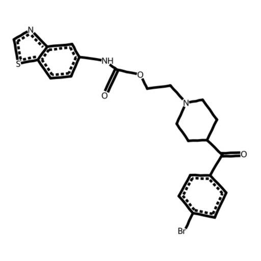 O=C(Nc1ccc2scnc2c1)OCCN1CCC(C(=O)c2ccc(Br)cc2)CC1